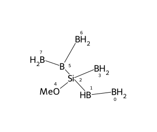 BB[Si](B)(OC)B(B)B